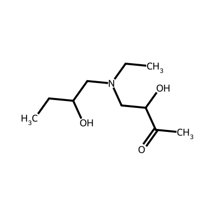 CCC(O)CN(CC)CC(O)C(C)=O